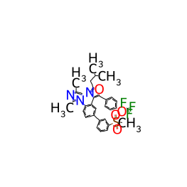 Cc1cn(-c2ccc(-c3cccc(S(C)(=O)=O)c3)cc2-c2nc(CC(C)C)oc2-c2ccc(OC(F)(F)F)cc2)c(C)n1